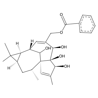 CC1=C[C@]23C(O)[C@@H](C=C(COC(=O)c4ccccc4)[C@@H](O)[C@]2(O)[C@H]1O)[C@H]1[C@@H](C[C@H]3C)C1(C)C